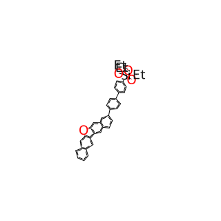 CCO[Si](OCC)(OCC)c1ccc(-c2ccc(-c3ccc4cc5c(cc4c3)oc3cc4ccccc4cc35)cc2)cc1